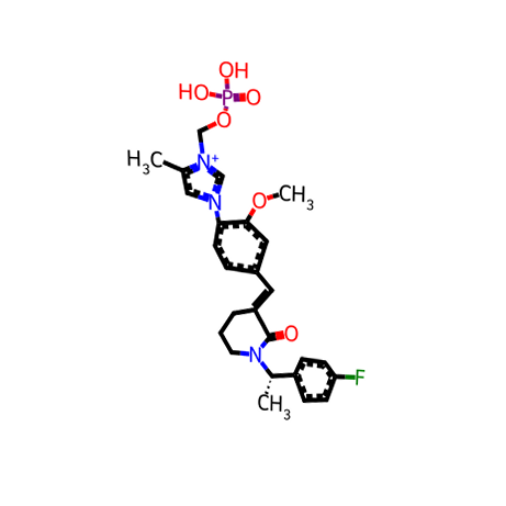 COc1cc(/C=C2\CCCN([C@@H](C)c3ccc(F)cc3)C2=O)ccc1-n1cc(C)[n+](COP(=O)(O)O)c1